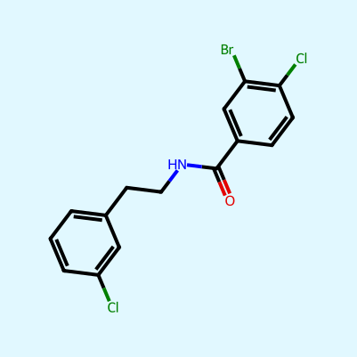 O=C(NCCc1cccc(Cl)c1)c1ccc(Cl)c(Br)c1